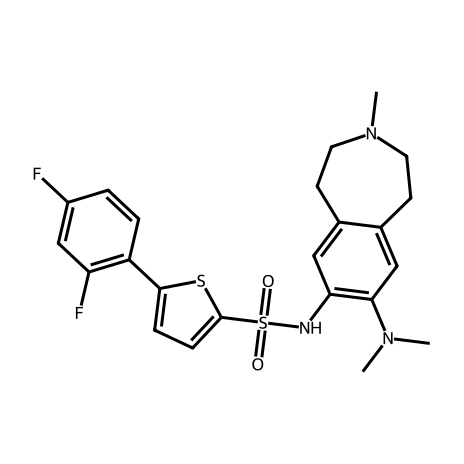 CN1CCc2cc(NS(=O)(=O)c3ccc(-c4ccc(F)cc4F)s3)c(N(C)C)cc2CC1